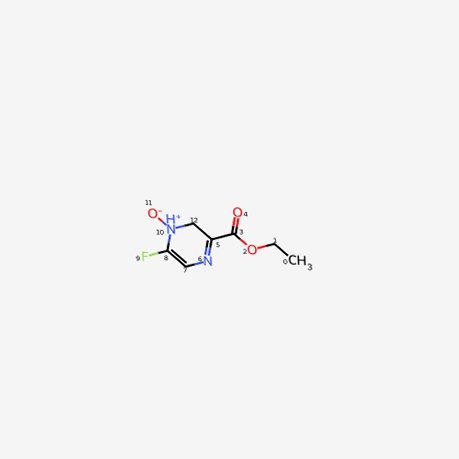 CCOC(=O)C1=NC=C(F)[NH+]([O-])C1